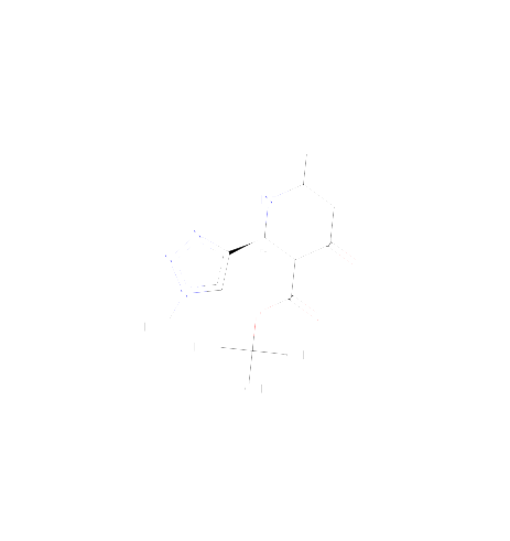 CC1CC(=O)C(C(=O)OC(C)(C)C)[C@@H](c2cn(C)nn2)N1